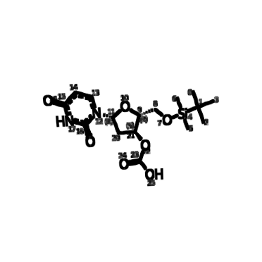 CC(C)(C)[Si](C)(C)OC[C@H]1O[C@@H](n2ccc(=O)[nH]c2=O)C[C@@H]1OC(=O)O